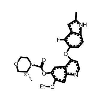 CCOc1cc2nccc(Oc3ccc4[nH]c(C)cc4c3F)c2cc1OC(=O)N1CCOC[C@H]1C